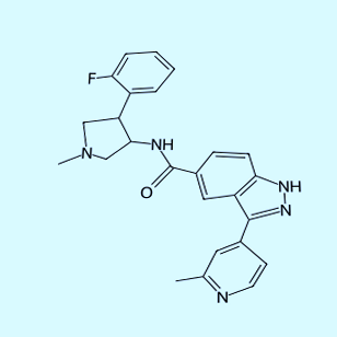 Cc1cc(-c2n[nH]c3ccc(C(=O)NC4CN(C)CC4c4ccccc4F)cc23)ccn1